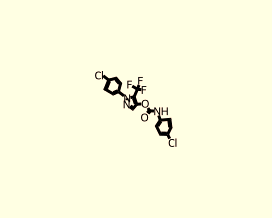 O=C(Nc1ccc(Cl)cc1)Oc1cnn(-c2ccc(Cl)cc2)c1C(F)(F)F